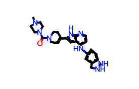 CN1CCN(C(=O)N2CC=C(c3cc4c(Nc5ccc6c(c5)CNN6)ccnc4[nH]3)CC2)CC1